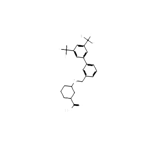 O=C(O)C1CCCC(NCc2cccc(-c3cc(C(F)(F)F)cc(C(F)(F)F)c3)c2)C1